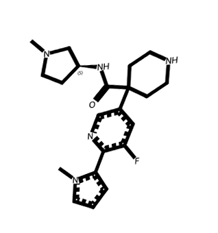 CN1CC[C@H](NC(=O)C2(c3cnc(-c4cccn4C)c(F)c3)CCNCC2)C1